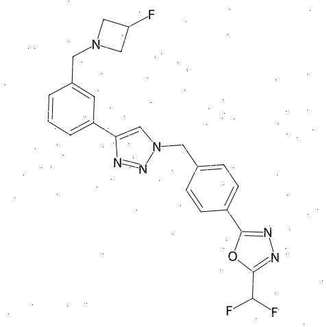 FC1CN(Cc2cccc(-c3cn(Cc4ccc(-c5nnc(C(F)F)o5)cc4)nn3)c2)C1